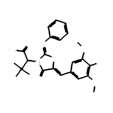 COc1cc(/C=C2\S/C(=N\c3ccccc3)N(C(C(=O)O)C(C)(C)C)C2=O)cc(OC)c1O